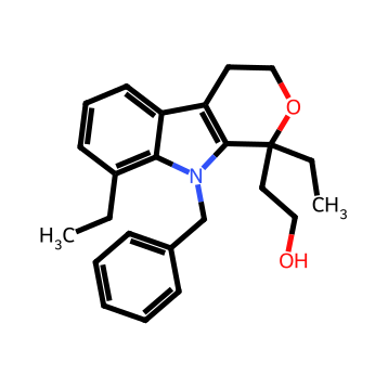 CCc1cccc2c3c(n(Cc4ccccc4)c12)C(CC)(CCO)OCC3